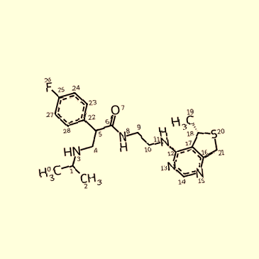 CC(C)NCC(C(=O)NCCNc1ncnc2c1[C@H](C)SC2)c1ccc(F)cc1